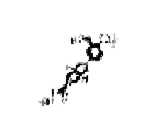 CC(C)(C)OC(=O)N1C[C@@H]2CN(c3ccc(C(=O)O)c(CO)c3)C[C@@H]2C1